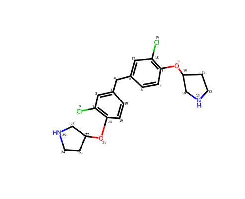 Clc1cc(Cc2ccc(OC3CCNC3)c(Cl)c2)ccc1OC1CCNC1